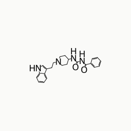 O=C(NC(=O)c1ccccc1)NC1CCN(CCc2c[nH]c3ccccc23)CC1